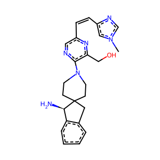 Cn1cnc(/C=C\c2cnc(N3CCC4(CC3)Cc3ccccc3[C@H]4N)c(CO)n2)c1